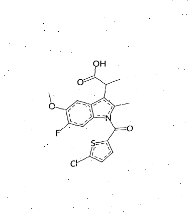 COc1cc2c(C(C)C(=O)O)c(C)n(C(=O)c3ccc(Cl)s3)c2cc1F